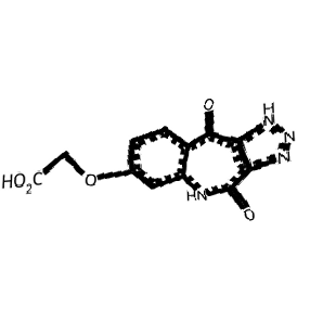 O=C(O)COc1ccc2c(=O)c3[nH]nnc3c(=O)[nH]c2c1